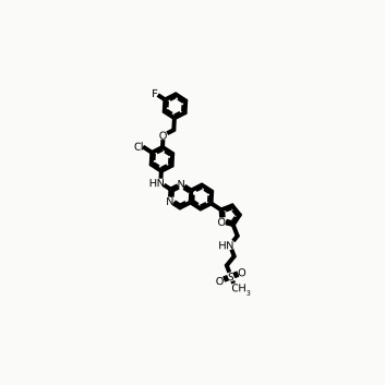 CS(=O)(=O)CCNCc1ccc(-c2ccc3nc(Nc4ccc(OCc5cccc(F)c5)c(Cl)c4)ncc3c2)o1